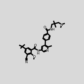 COc1c(C#N)cc(C(C)(C)C)cc1C(=O)Nc1cnc(C)c(-c2ccc(C(=O)NCC(C)(C)CN(C)C)cc2)c1